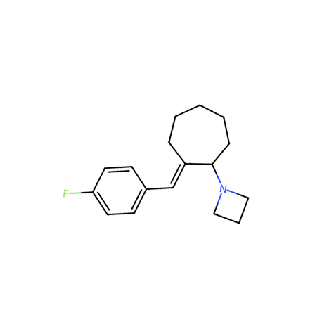 Fc1ccc(C=C2CCCCCC2N2CCC2)cc1